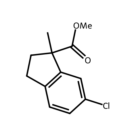 COC(=O)C1(C)CCc2ccc(Cl)cc21